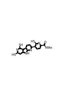 CNC(=O)c1ccc(-c2ccc3c(n2)[nH]c2cc(S)nc(S)c23)c(S)n1